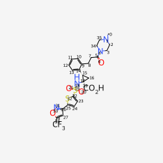 CN1CCN(C(=O)CCc2ccccc2[C@@H]2C[C@]2(NS(=O)(=O)c2ccc(-c3cc(C(F)(F)F)on3)s2)C(=O)O)CC1